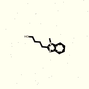 Cn1c(CCCCO)nc2ccccc21